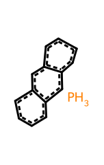 P.c1ccc2cc3ccccc3cc2c1